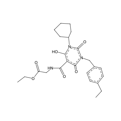 CCOC(=O)CNC(=O)c1c(O)n(C2CCCCC2)c(=O)n(Cc2ccc(CC)cc2)c1=O